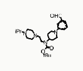 CC(C)N1CCN(CCN(C(=O)OC(C)(C)C)C2CCN(c3cccc(C=O)c3)CC2)CC1